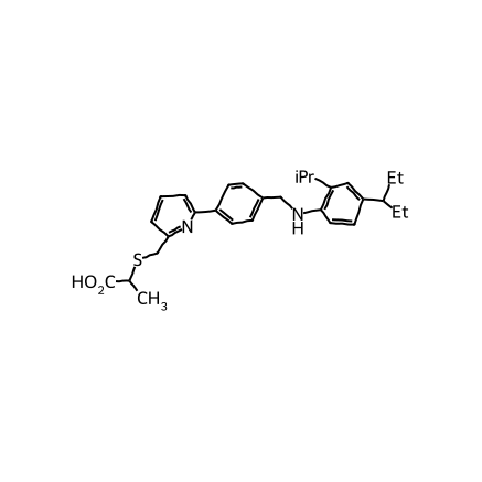 CCC(CC)c1ccc(NCc2ccc(-c3cccc(CSC(C)C(=O)O)n3)cc2)c(C(C)C)c1